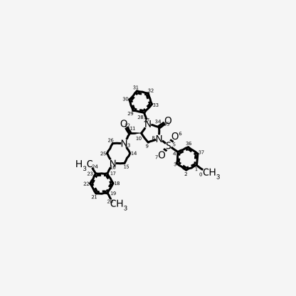 Cc1ccc(S(=O)(=O)N2C[C@@H](C(=O)N3CCN(c4cc(C)ccc4C)CC3)N(c3ccccc3)C2=O)cc1